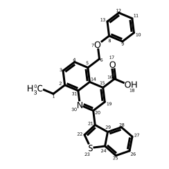 CCc1ccc(COc2ccccc2)c2c(C(=O)O)cc(-c3csc4ccccc34)nc12